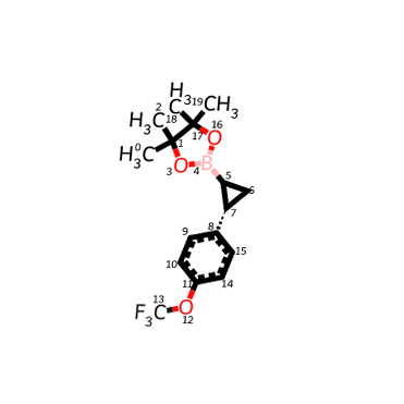 CC1(C)OB(C2C[C@@H]2c2ccc(OC(F)(F)F)cc2)OC1(C)C